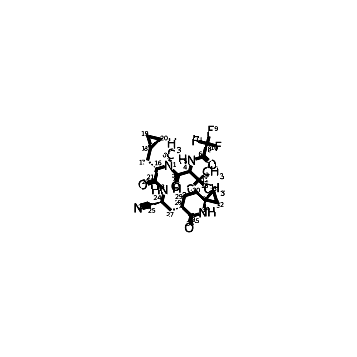 CN(C(=O)C(NC(=O)C(F)(F)F)C(C)(C)C)[C@@H](CC1CC1)C(=O)N[C@H](C#N)C[C@@H]1CCC2(CC2)NC1=O